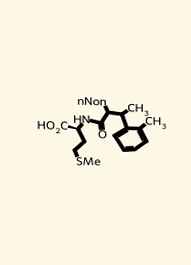 CCCCCCCCCC(C(=O)N[C@@H](CCSC)C(=O)O)C(C)c1ccccc1C